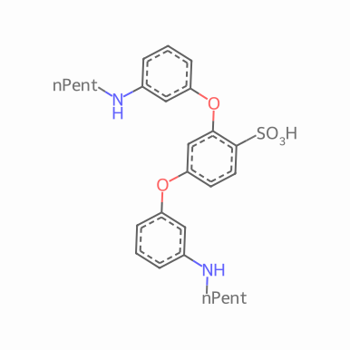 CCCCCNc1cccc(Oc2ccc(S(=O)(=O)O)c(Oc3cccc(NCCCCC)c3)c2)c1